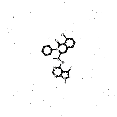 C[C@H](Nc1ncnc2[nH]nc(Cl)c12)c1cc2cccc(Cl)c2c(=O)n1-c1ccccc1